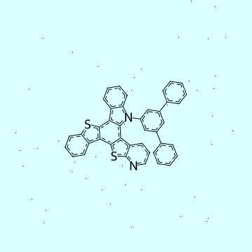 c1ccc(-c2cc(-c3ccccc3)cc(-n3c4ccccc4c4c5sc6ccccc6c5c5sc6ncccc6c5c43)c2)cc1